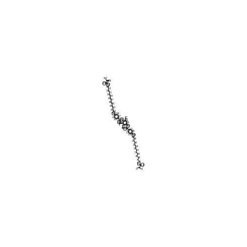 C=C(C)C(=O)OCCCCCCCCCCCCCCOc1ccc(C(=O)Oc2cc(F)c(OC(=O)c3ccc(OCCCCCCCCCCCCCCOC(=O)C(=C)C)cc3)c(F)c2F)cc1